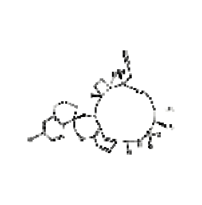 C[C@@H]1[C@@H](C)C/C=C/[C@@](O)(CC#N)[C@@H]2CC[C@H]2CN2C[C@@]3(CCCc4cc(Cl)ccc43)COc3ccc(cc32)C(=O)NS1(=O)=O